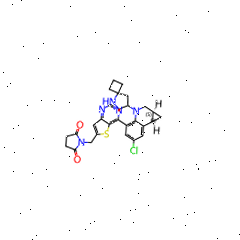 O=C1CCC(=O)N1Cc1cc2ncnc(-c3cc(Cl)cc4c3N(C3CNC5(CCC5)C3)C[C@H]3C[C@@H]43)c2s1